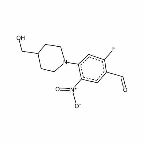 O=Cc1cc([N+](=O)[O-])c(N2CCC(CO)CC2)cc1F